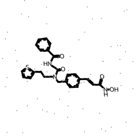 O=C(C=Cc1ccc(CN(CCc2cccs2)C(=O)NC(=O)c2ccccc2)cc1)NO